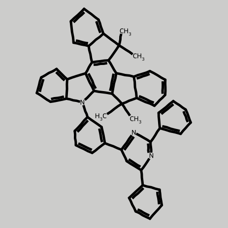 CC1(C)c2ccccc2-c2c1c1c(c3c2c2ccccc2n3-c2cccc(-c3cc(-c4ccccc4)nc(-c4ccccc4)n3)c2)C(C)(C)c2ccccc2-1